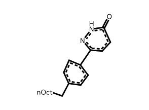 CCCCCCCCCc1ccc(-c2ccc(=O)[nH]n2)cc1